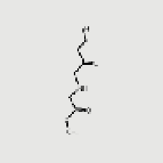 COC(=O)CNCC(=O)CCS